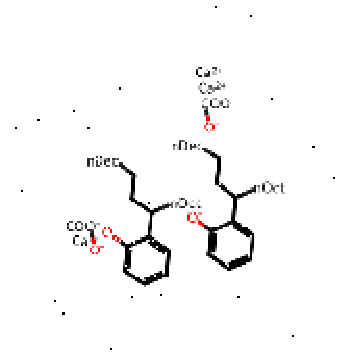 CCCCCCCCCCCCC(CCCCCCCC)c1ccccc1[O-].CCCCCCCCCCCCC(CCCCCCCC)c1ccccc1[O-].O=C([O-])[O-].O=C([O-])[O-].[Ca+2].[Ca+2].[Ca+2]